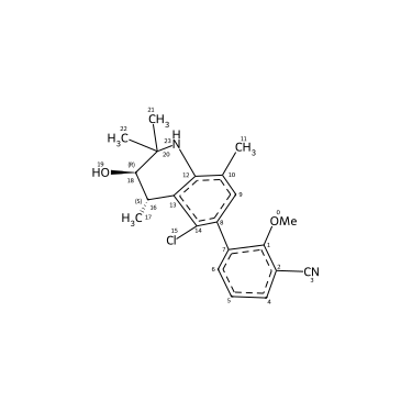 COc1c(C#N)cccc1-c1cc(C)c2c(c1Cl)[C@H](C)[C@@H](O)C(C)(C)N2